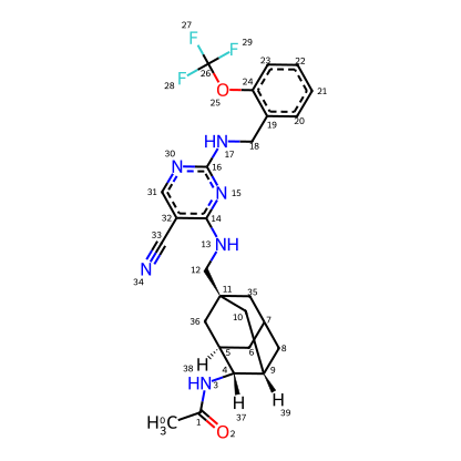 CC(=O)N[C@@H]1[C@@H]2CC3C[C@H]1C[C@@](CNc1nc(NCc4ccccc4OC(F)(F)F)ncc1C#N)(C3)C2